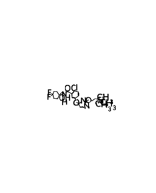 C[Si](C)(C)CCOc1nccc(Oc2ccc(Cl)c(C(=O)NCC3(O)CCC(F)(F)CC3)c2)n1